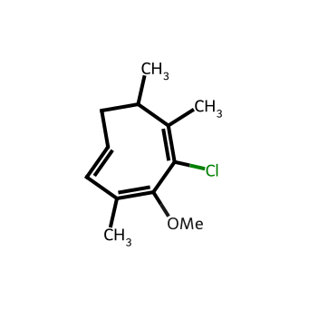 COC1=C(C)/C=C/CC(C)/C(C)=C\1Cl